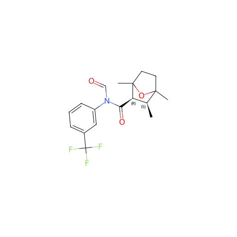 C[C@H]1[C@@H](C(=O)N(C=O)c2cccc(C(F)(F)F)c2)C2(C)CCC1(C)O2